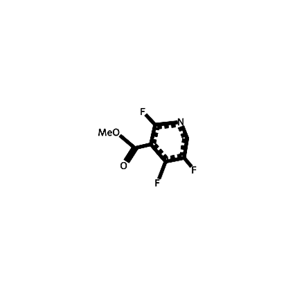 COC(=O)c1c(F)ncc(F)c1F